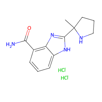 CC1(c2nc3c(C(N)=O)cccc3[nH]2)CCCN1.Cl.Cl